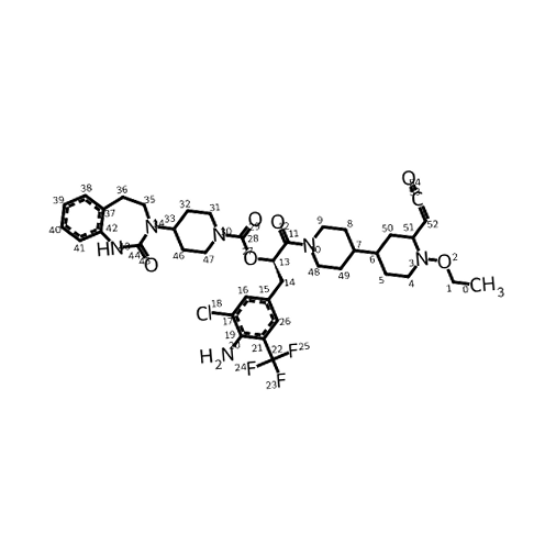 CCON1CCC(C2CCN(C(=O)[C@@H](Cc3cc(Cl)c(N)c(C(F)(F)F)c3)OC(=O)N3CCC(N4CCc5ccccc5NC4=O)CC3)CC2)CC1C=C=O